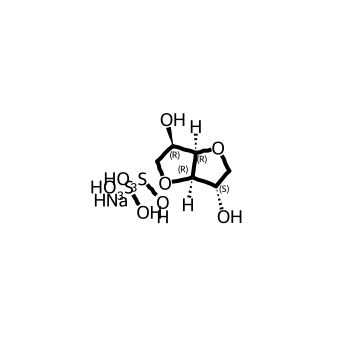 O=S(=O)(O)O.O=S(=O)(O)O.O[C@@H]1CO[C@H]2[C@@H]1OC[C@@H]2O.[NaH]